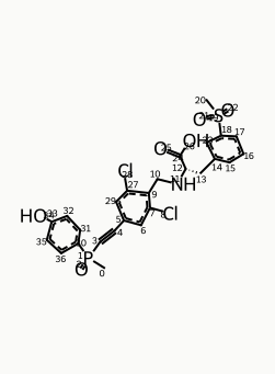 CP(=O)(C#Cc1cc(Cl)c(CN[C@@H](Cc2cccc(S(C)(=O)=O)c2)C(=O)O)c(Cl)c1)c1ccc(O)cc1